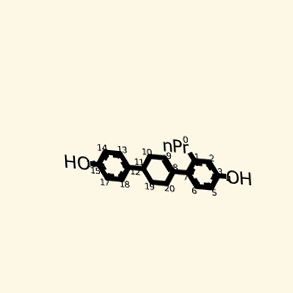 CCCc1cc(O)ccc1C1=CCC(c2ccc(O)cc2)CC1